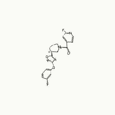 O=C(c1ccnc(F)c1)N1CCC[C@H](c2nc(Oc3cccc(F)c3)no2)C1